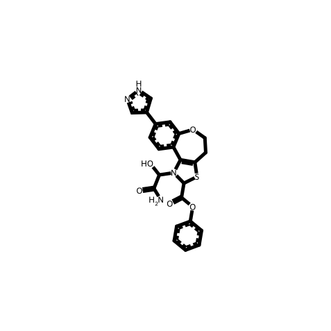 NC(=O)C(O)N1C2=C(CCOc3cc(-c4cn[nH]c4)ccc32)SC1C(=O)Oc1ccccc1